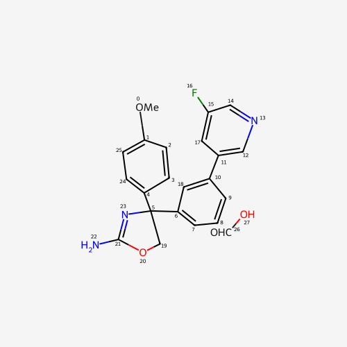 COc1ccc(C2(c3cccc(-c4cncc(F)c4)c3)COC(N)=N2)cc1.O=CO